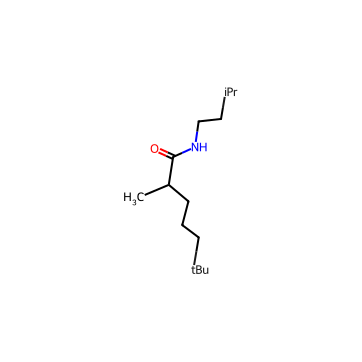 CC(C)CCNC(=O)C(C)CCCC(C)(C)C